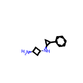 N[C@H]1C[C@H](NC2CC2c2ccccc2)C1